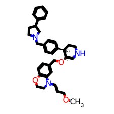 COCCCN1CCOc2ccc(CO[C@H]3CNCC[C@@H]3c3ccc(CN4CCC(c5ccccc5)C4)cc3)cc21